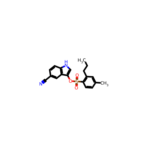 CCCc1cc(C)ccc1S(=O)(=O)Oc1c[nH]c2ccc(C#N)cc12